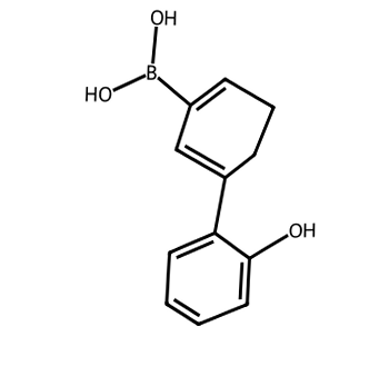 OB(O)C1=CCCC(c2ccccc2O)=C1